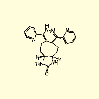 O=C1N[C@H]2CCC3C(c4ccccn4)=NNC(c4ccccn4)=C3CC[C@H]2N1